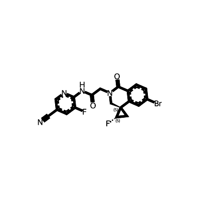 N#Cc1cnc(NC(=O)CN2C[C@]3(C[C@@H]3F)c3cc(Br)ccc3C2=O)c(F)c1